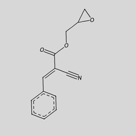 N#C/C(=C\c1ccccc1)C(=O)OCC1CO1